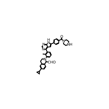 Cc1c(-c2ncnc3[nH]c(-c4ccc(C(=O)N5CCNCC5)cc4)cc23)cccc1N1CCc2cc(C3CC3)ccc2C1C=O